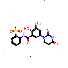 CC(C)(C)c1cc(N2CCC(=O)NC2=O)cc(C(=O)Nc2ccccc2S(C)(=O)=O)c1O